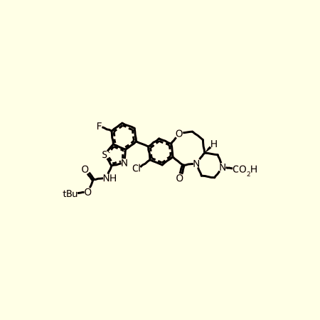 CC(C)(C)OC(=O)Nc1nc2c(-c3cc4c(cc3Cl)C(=O)N3CCN(C(=O)O)C[C@H]3CCO4)ccc(F)c2s1